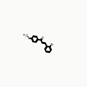 CSc1ccc(C(=O)C=Cc2ccccc2Br)cc1